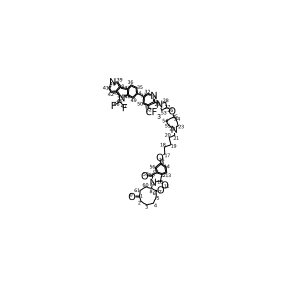 O=C1CCCCC(=O)C(N2C(=O)c3ccc(OCCCCCN4CCC(OC5CN(c6ncc(-c7ccc8c9cnccc9n(C(F)F)c8c7)cc6C(F)(F)F)C5)CC4)cc3C2=O)CC1